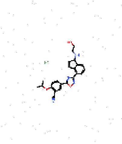 CC(C)Oc1ccc(-c2nc(-c3cccc4c3CCC4NCCO)no2)cc1C#N.Cl